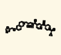 O=C(NC[C@H](O)CN1CCc2cc(OCc3cnco3)ccc2C1)c1ccnc(NC2CCN(C(=O)C3CC3)CC2)c1